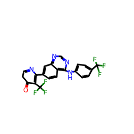 O=C1CC=NC(c2ccc3c(Nc4ccc(C(F)(F)F)cc4)ncnc3c2)=C1C(F)(F)F